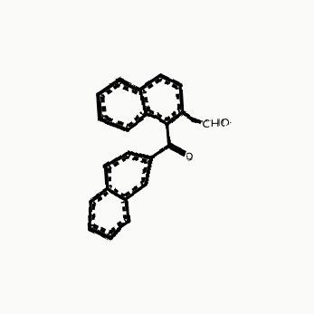 O=[C]c1ccc2ccccc2c1C(=O)c1ccc2ccccc2c1